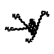 CCCCCCCCN(CCCCCCCC)CC(O[N+](=O)[O-])C(CN(CCCCCCCC)CCCCCCCC)O[N+](=O)[O-]